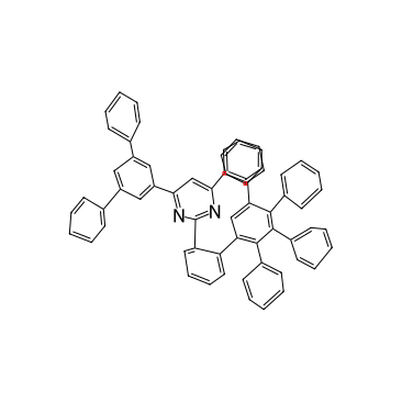 c1ccc(-c2cc(-c3ccccc3)cc(-c3cc(-c4ccccc4)nc(-c4ccccc4-c4cc(-c5ccccc5)c(-c5ccccc5)c(-c5ccccc5)c4-c4ccccc4)n3)c2)cc1